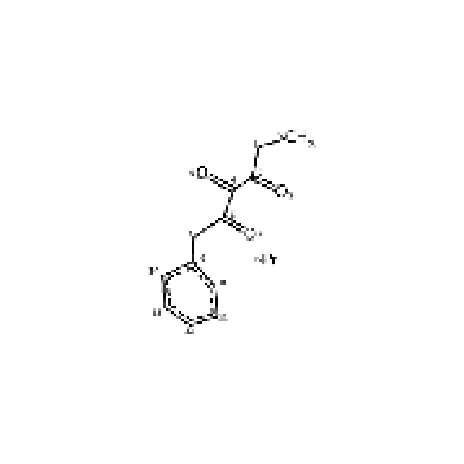 CCC(=O)C(=O)C(=O)Cc1ccccc1.[Pr]